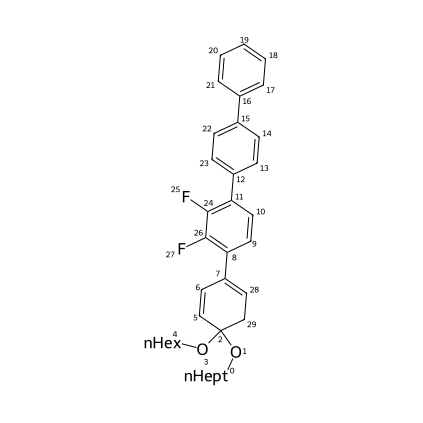 CCCCCCCOC1(OCCCCCC)C=CC(c2ccc(-c3ccc(-c4ccccc4)cc3)c(F)c2F)=CC1